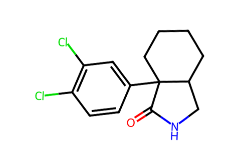 O=C1NCC2CCCCC12c1ccc(Cl)c(Cl)c1